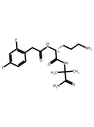 CC(C)(NC(=O)[C@@H](CCCN)NC(=O)Cc1ccc(F)cc1F)C(N)=O